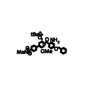 CNS(=O)(=O)c1ccc(C2=CCN(C(=O)c3cc(OC)c(OCc4ccccc4)cc3N)[C@H](CO[Si](C)(C)C(C)(C)C)C2)cc1